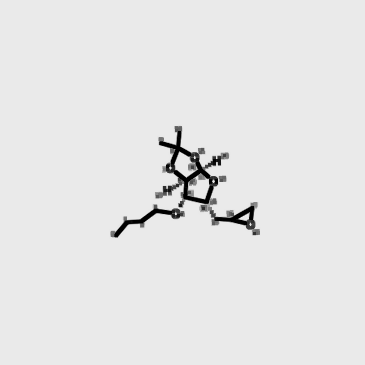 CCCCO[C@@H]1[C@H]2OC(C)(C)O[C@H]2O[C@@H]1CC1CO1